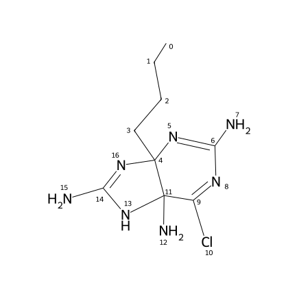 CCCCC12N=C(N)N=C(Cl)C1(N)NC(N)=N2